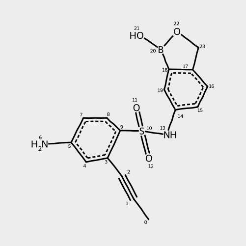 CC#Cc1cc(N)ccc1S(=O)(=O)Nc1ccc2c(c1)B(O)OC2